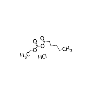 CCCCCC(=O)OC(=O)OCC.Cl